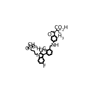 Cc1c(CNc2ccc3c(c2)OC[C@H]3C(C)C(=O)O)cccc1-c1c(C)n(CCCS(C)(=O)=O)c2ccc(F)cc12